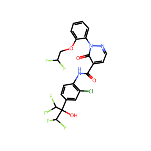 O=C(Nc1ccc(C(O)(C(F)F)C(F)F)cc1Cl)c1ccnn(-c2ccccc2OCC(F)F)c1=O